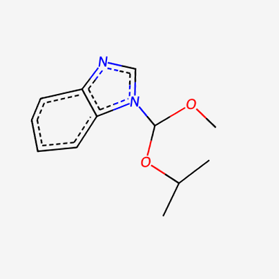 COC(OC(C)C)n1cnc2ccccc21